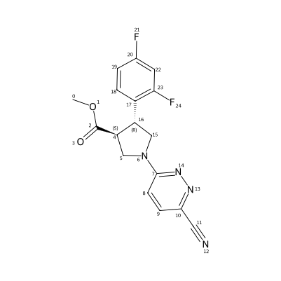 COC(=O)[C@@H]1CN(c2ccc(C#N)nn2)C[C@H]1c1ccc(F)cc1F